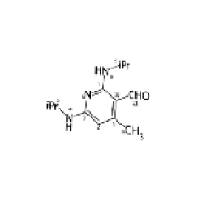 Cc1cc(NC(C)C)nc(NC(C)C)c1C=O